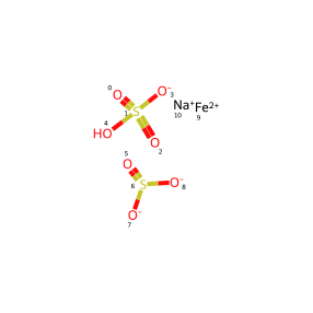 O=S(=O)([O-])O.O=S([O-])[O-].[Fe+2].[Na+]